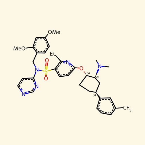 CCc1nc(O[C@H]2CC[C@H](c3cccc(C(F)(F)F)c3)C[C@@H]2N(C)C)ccc1S(=O)(=O)N(Cc1ccc(OC)cc1OC)c1ccncn1